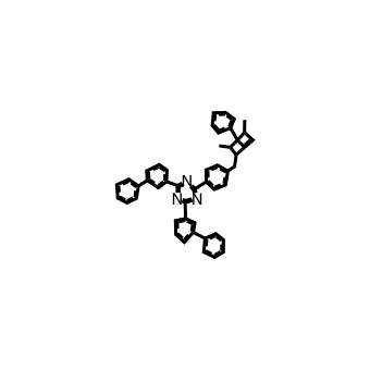 CC1C=C2C(Cc3ccc(-c4nc(-c5cccc(-c6ccccc6)c5)nc(-c5cccc(-c6ccccc6)c5)n4)cc3)C(C)C21c1ccccc1